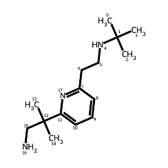 CC(C)(C)NCCc1cccc(C(C)(C)CN)n1